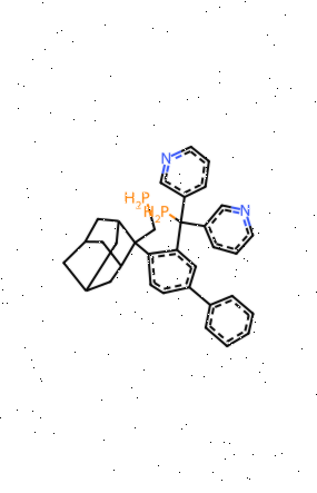 PCC1(c2ccc(-c3ccccc3)cc2C(P)(c2cccnc2)c2cccnc2)C2CC3CC(C2)CC1C3